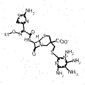 CCON=C(C(=O)NC1C(=O)N2CC(CSc3nc(N)c(N)c(N)[n+]3N)(C(=O)[O-])CS[C@H]12)c1csc(N)n1